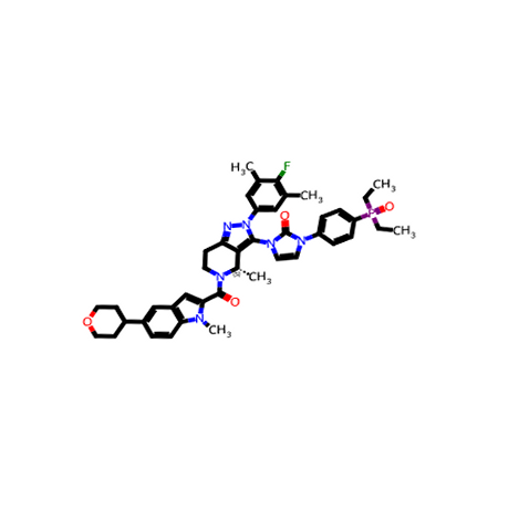 CCP(=O)(CC)c1ccc(-n2ccn(-c3c4c(nn3-c3cc(C)c(F)c(C)c3)CCN(C(=O)c3cc5cc(C6CCOCC6)ccc5n3C)[C@H]4C)c2=O)cc1